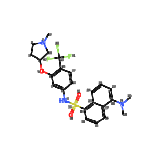 CN1CCC(Oc2cc(NS(=O)(=O)c3cccc4c(N(C)C)cccc34)ccc2C(F)(F)F)C1